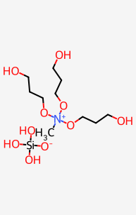 C[N+](OCCCO)(OCCCO)OCCCO.[O-][Si](O)(O)O